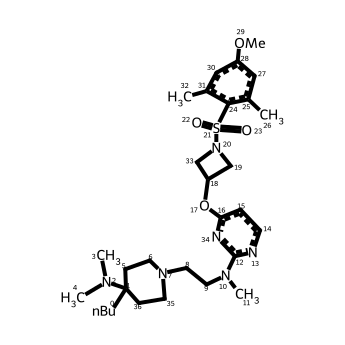 CCCCC1(N(C)C)CCN(CCN(C)c2nccc(OC3CN(S(=O)(=O)c4c(C)cc(OC)cc4C)C3)n2)CC1